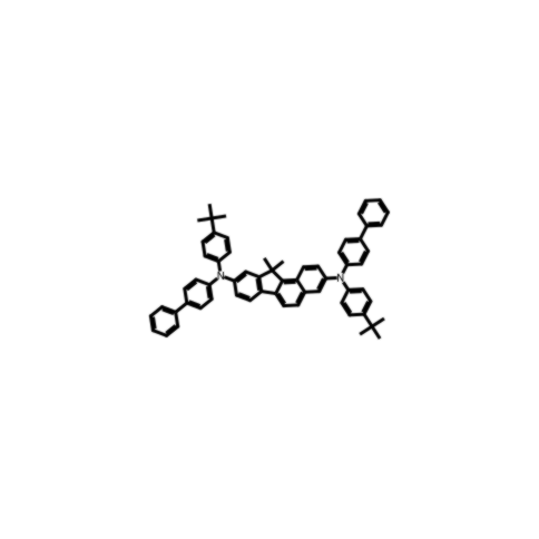 CC(C)(C)c1ccc(N(c2ccc(-c3ccccc3)cc2)c2ccc3c(c2)C(C)(C)c2c-3ccc3cc(N(c4ccc(-c5ccccc5)cc4)c4ccc(C(C)(C)C)cc4)ccc23)cc1